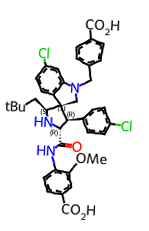 COc1cc(C(=O)O)ccc1NC(=O)[C@@H]1N[C@@H](CC(C)(C)C)[C@@]2(CN(Cc3ccc(C(=O)O)cc3)c3cc(Cl)ccc32)[C@H]1c1ccc(Cl)cc1